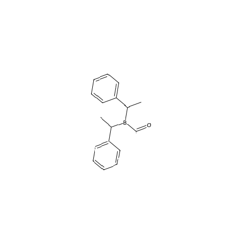 CC(B([C]=O)C(C)c1ccccc1)c1ccccc1